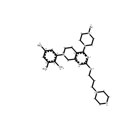 CC(=O)N1CCN(c2nc(OCCCN3CCOCC3)nc3c2CCN(c2cc(O)cc(C)c2C)C3)CC1